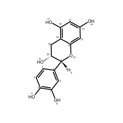 [2H][C@]1(c2ccc(O)c(O)c2)Oc2cc(O)cc(O)c2C[C@H]1O